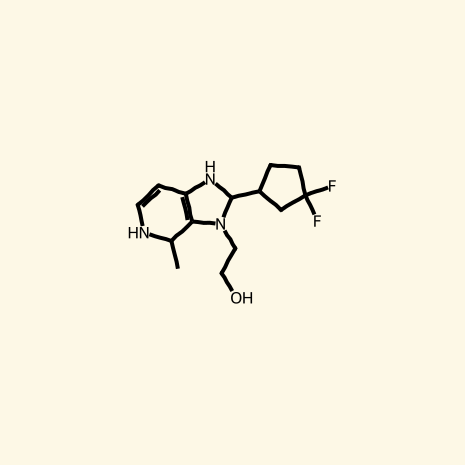 CC1NC=CC2=C1N(CCO)C(C1CCC(F)(F)C1)N2